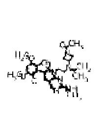 CNc1ncc2cc(-c3c(Cl)c(OC)cc(OC)c3Cl)c(=O)n(CCN(C(C)C)C3CN(C(C)=O)C3)c2n1